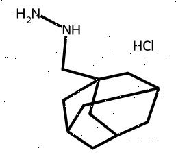 Cl.NNCC12CC3CC(CC(C3)C1)C2